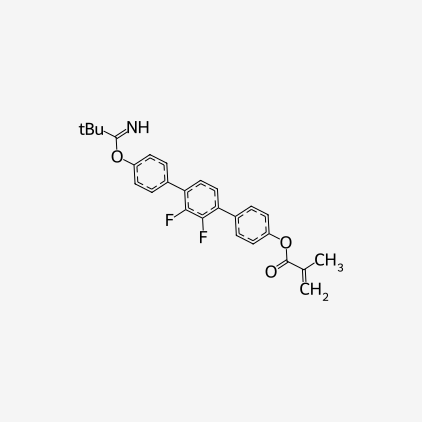 C=C(C)C(=O)Oc1ccc(-c2ccc(-c3ccc(OC(=N)C(C)(C)C)cc3)c(F)c2F)cc1